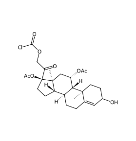 CC(=O)O[C@H]1C[C@@]2(C)[C@@H](CC[C@]2(OC(C)=O)C(=O)COC(=O)Cl)[C@@H]2CCC3=CC(O)CC[C@]3(C)[C@H]21